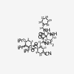 CC(C)c1ccc(S(=O)(=O)c2ccc(C#N)cc2C[C@H](N)C(=O)C2(C(=O)NCc3ccccc3)CCCNC2)c(C(C)C)c1C(C)C